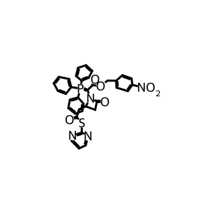 O=C(CC1CC(=O)N1C(C(=O)OCc1ccc([N+](=O)[O-])cc1)=P(c1ccccc1)(c1ccccc1)c1ccccc1)Sc1ncccn1